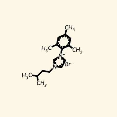 Cc1cc(C)c(-[n+]2ccn(CCC(C)C)c2)c(C)c1.[Br-]